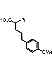 COc1ccc(/C=C/CC(C(=O)O)C(C)C)cc1